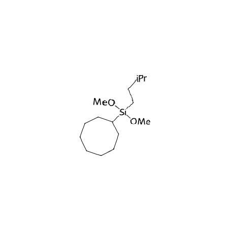 CO[Si](CCC(C)C)(OC)C1CCCCCCC1